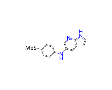 CSc1ccc(Nc2cnc3[nH]ccc3c2)cc1